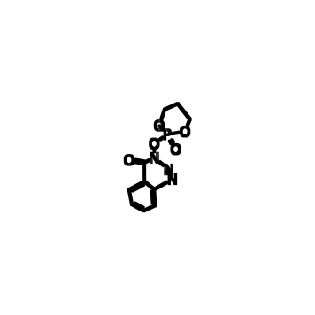 O=c1c2ccccc2nnn1OP1(=O)OCCCO1